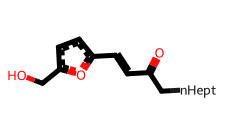 CCCCCCCCC(=O)/C=C/c1ccc(CO)o1